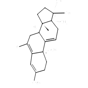 COC1=CC2=C(F)C[C@@H]3C(=CC[C@@]4(C)[C@H]3CC[C@]4(O)C#N)[C@@]2(C)CC1